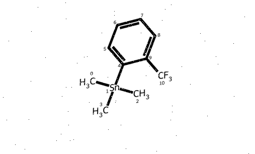 [CH3][Sn]([CH3])([CH3])[c]1ccccc1C(F)(F)F